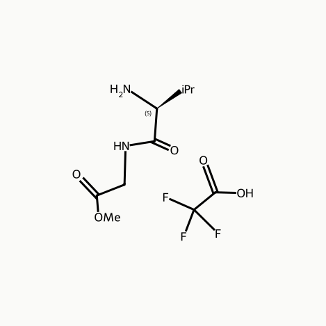 COC(=O)CNC(=O)[C@@H](N)C(C)C.O=C(O)C(F)(F)F